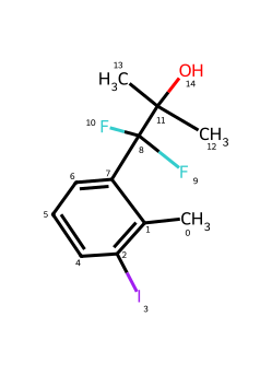 Cc1c(I)cccc1C(F)(F)C(C)(C)O